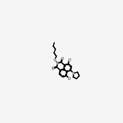 CCCCCON1C(=O)c2ccc(Cl)c3c(N4CCCC4)cc(Cl)c(c23)C1=O